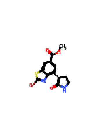 COC(=O)c1cc([C@@H]2CCNC2=O)c2nc(Br)sc2c1